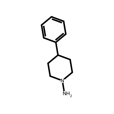 NN1CCC(c2ccccc2)CC1